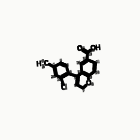 Cc1ccc(C2=CCOc3ccc(C(=O)O)cc32)c(Cl)c1